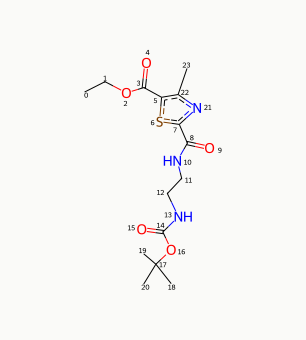 CCOC(=O)c1sc(C(=O)NCCNC(=O)OC(C)(C)C)nc1C